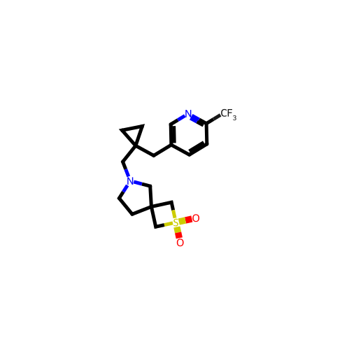 O=S1(=O)CC2(CCN(CC3(Cc4ccc(C(F)(F)F)nc4)CC3)C2)C1